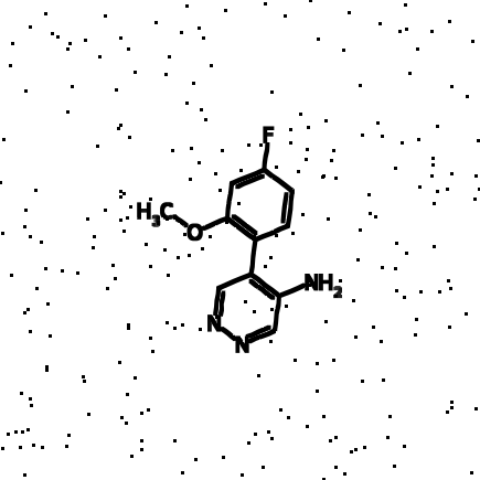 COc1cc(F)ccc1-c1cnncc1N